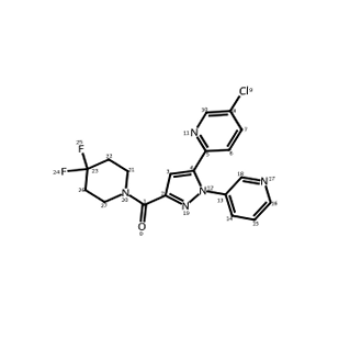 O=C(c1cc(-c2ccc(Cl)cn2)n(-c2cccnc2)n1)N1CCC(F)(F)CC1